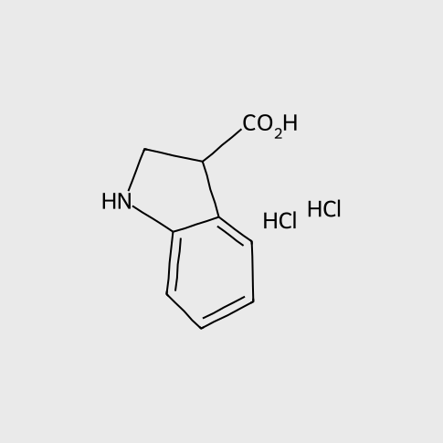 Cl.Cl.O=C(O)C1CNc2ccccc21